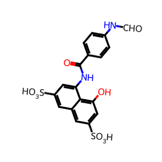 O=CNc1ccc(C(=O)Nc2cc(S(=O)(=O)O)cc3cc(S(=O)(=O)O)cc(O)c23)cc1